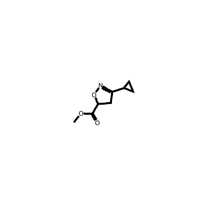 COC(=O)C1CC(C2CC2)=NO1